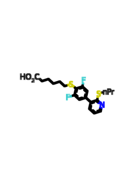 CCCSc1ncccc1-c1cc(F)c(SCCCCCC(=O)O)c(F)c1